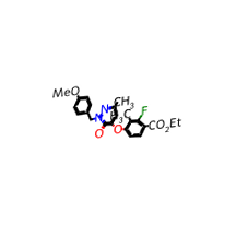 CCOC(=O)c1ccc(Oc2cc(C)nn(Cc3ccc(OC)cc3)c2=O)c(C)c1F